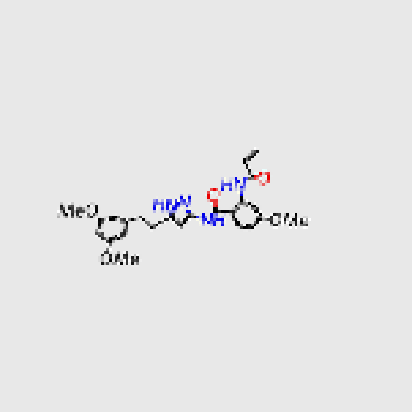 C=CC(=O)Nc1cc(OC)ccc1C(=O)Nc1cc(CCc2cc(OC)cc(OC)c2)[nH]n1